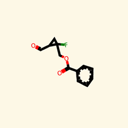 O=CC1CC1(F)COC(=O)c1ccccc1